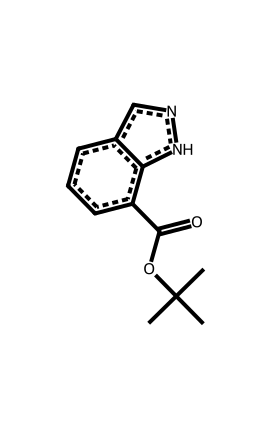 CC(C)(C)OC(=O)c1cccc2cn[nH]c12